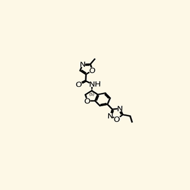 CCc1nc(-c2ccc3c(c2)OC[C@H]3NC(=O)c2cnc(C)o2)no1